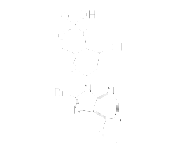 Nc1ncnc2c1nc(Br)n2C1CC(O)C2OP(=O)(O)OCC2O1